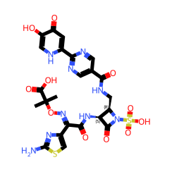 CC(C)(ON=C(C(=O)N[C@@H]1C(=O)N(S(=O)(=O)O)[C@@H]1CNC(=O)c1cnc(-c2cc(=O)c(O)c[nH]2)nc1)c1csc(N)n1)C(=O)O